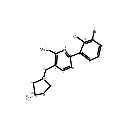 COc1nc(-c2cccc(Br)c2Cl)ccc1CN1CC[C@H](O)C1